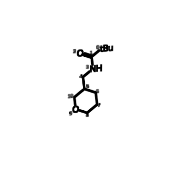 CC(C)(C)C(=O)NCC1CCCOC1